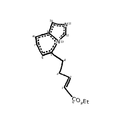 CCOC(=O)C=CCCc1cccc2cncn12